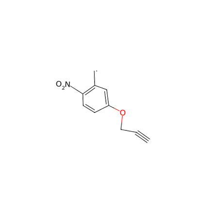 C#CCOc1ccc([N+](=O)[O-])c([CH2])c1